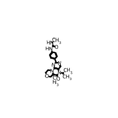 CNC(=O)Nc1ccc(-c2ncc3c(n2)N2CCOCC2(C)C(=O)N3C(C)C)cc1